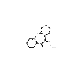 O=c1c(=NO)c2ccccc2oc2cc(F)ccc12